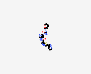 Cc1ncc(NC(=O)CN2CC3(CCCCO3)C2)cc1NC(=O)c1cnn2cc(-c3cnn4c3CCC4)sc12